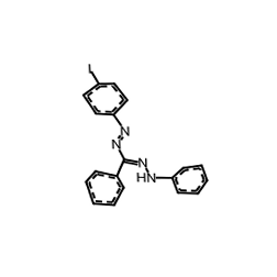 Ic1ccc(N=NC(=NNc2ccccc2)c2ccccc2)cc1